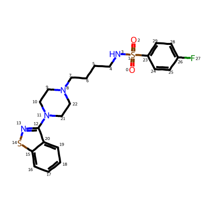 O=S(=O)(NCCCCN1CCN(c2nsc3ccccc23)CC1)c1ccc(F)cc1